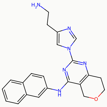 NCCc1cn(-c2nc3c(c(Nc4ccc5ccccc5c4)n2)COCC3)cn1